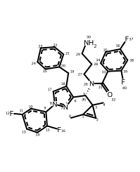 CC1=CC1(C)[C@H](c1nn(-c2cc(F)ccc2F)cc1Cc1ccccc1)N(CCCN)C(=O)c1ccc(F)cc1F